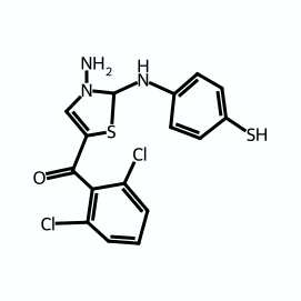 NN1C=C(C(=O)c2c(Cl)cccc2Cl)SC1Nc1ccc(S)cc1